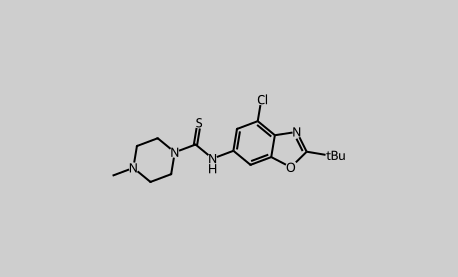 CN1CCN(C(=S)Nc2cc(Cl)c3nc(C(C)(C)C)oc3c2)CC1